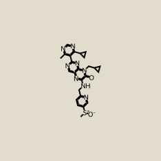 Cc1ncnc(C2CC2)c1-c1ncc2nc(NCc3ccc([S+](C)[O-])cn3)c(=O)n(CC3CC3)c2n1